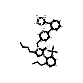 CCCCc1cn(-c2c(CCC)cccc2C(C)(C)C)c(=O)n1Cc1ccc(-c2ccccc2-c2nnn[nH]2)nc1